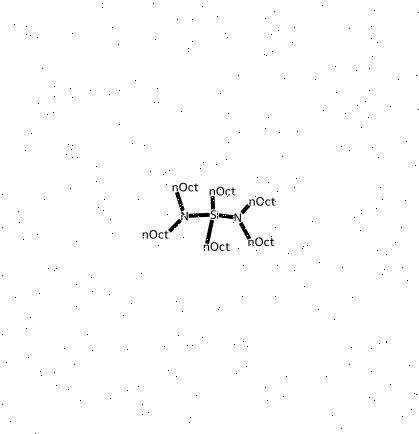 CCCCCCCCN(CCCCCCCC)[Si](CCCCCCCC)(CCCCCCCC)N(CCCCCCCC)CCCCCCCC